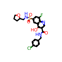 O=C(NCc1ccc(Cl)cc1)c1cnc2c(F)cc(S(=O)(=O)NCC3CCCO3)cc2c1O